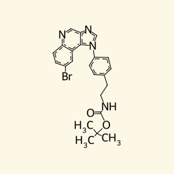 CC(C)(C)OC(=O)NCCc1ccc(-n2cnc3cnc4ccc(Br)cc4c32)cc1